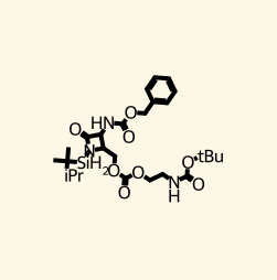 CC(C)C(C)(C)[SiH2]N1C(=O)C(NC(=O)OCc2ccccc2)C1COC(=O)OCCNC(=O)OC(C)(C)C